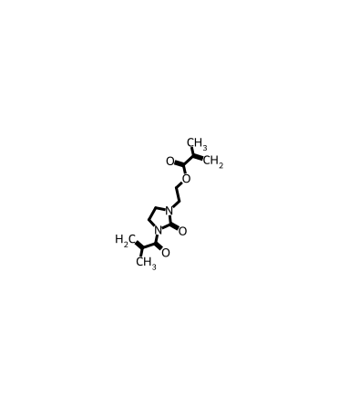 C=C(C)C(=O)OCCN1CCN(C(=O)C(=C)C)C1=O